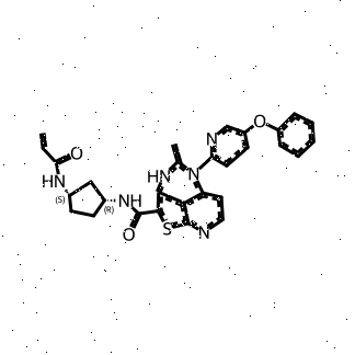 C=CC(=O)N[C@H]1CC[C@@H](NC(=O)c2sc3nccc4c3c2[nH]c(=C)n4-c2ccc(Oc3ccccc3)cn2)C1